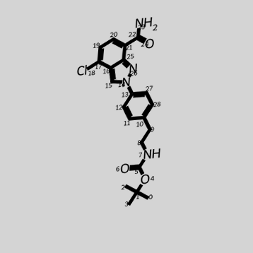 CC(C)(C)OC(=O)NCCc1ccc(-n2cc3c(Cl)ccc(C(N)=O)c3n2)cc1